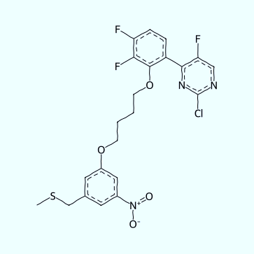 CSCc1cc(OCCCCOc2c(-c3nc(Cl)ncc3F)ccc(F)c2F)cc([N+](=O)[O-])c1